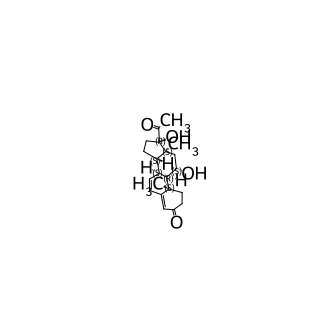 CC(=O)[C@@]1(O)CC[C@H]2[C@@H]3C=CC4=CC(=O)CC[C@@]4(C)[C@@H]3[C@@H](O)C[C@@]21C